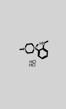 CNc1ccccc1[N+]1(C)CCN(C)CC1.Cl.Cl